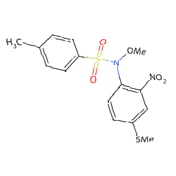 CON(c1ccc(SC)cc1[N+](=O)[O-])S(=O)(=O)c1ccc(C)cc1